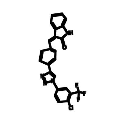 O=C1Nc2ccccc2C1=Cc1ccc(-c2cn(-c3ccc(Cl)c(C(F)(F)F)c3)nn2)cc1